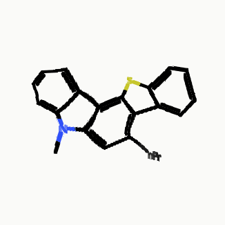 CCCc1cc2c(c3ccccc3n2C)c2sc3ccccc3c12